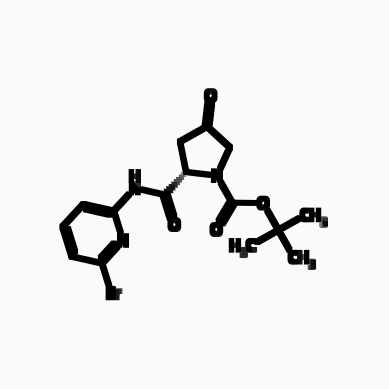 CC(C)(C)OC(=O)N1CC(=O)C[C@H]1C(=O)Nc1cccc(Br)n1